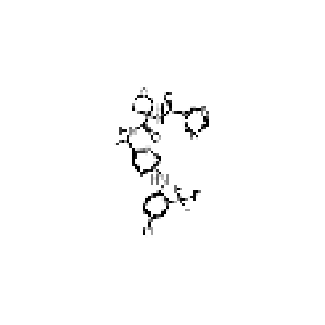 CC(NC(=O)[C@]1(NC(=O)c2cncnc2)CCOC1)c1ccc(Nc2ccc(Cl)cc2C(F)(F)F)cn1